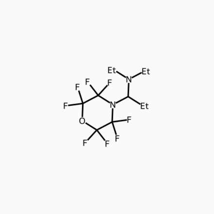 CCC(N(CC)CC)N1C(F)(F)C(F)(F)OC(F)(F)C1(F)F